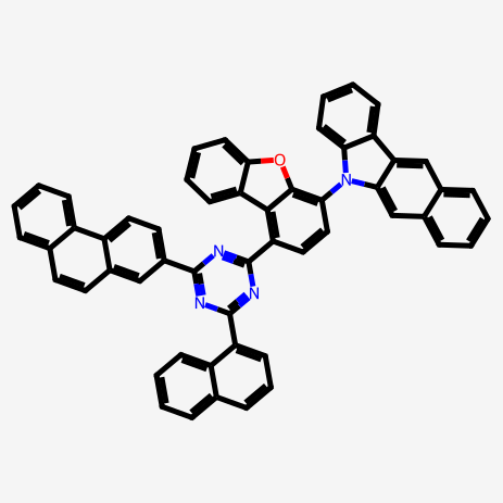 c1ccc2cc3c(cc2c1)c1ccccc1n3-c1ccc(-c2nc(-c3ccc4c(ccc5ccccc54)c3)nc(-c3cccc4ccccc34)n2)c2c1oc1ccccc12